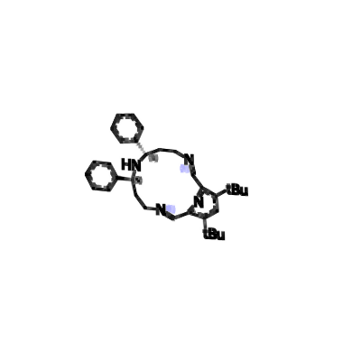 CC(C)(C)c1cc(C(C)(C)C)c2nc1/C=N/CC[C@@H](c1ccccc1)N[C@H](c1ccccc1)CC/N=C/2